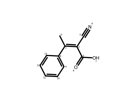 C/C(=C(\C#N)C(=O)O)c1ccccc1